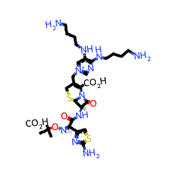 CC(C)(O/N=C(\C(=O)N[C@@H]1C(=O)N2C(C(=O)O)=C(C[n+]3cnc(NCCCCN)c(NCCCCN)c3)CSC12)c1csc(N)n1)C(=O)O